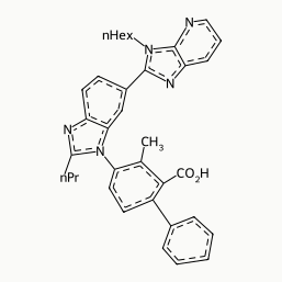 CCCCCCn1c(-c2ccc3nc(CCC)n(-c4ccc(-c5ccccc5)c(C(=O)O)c4C)c3c2)nc2cccnc21